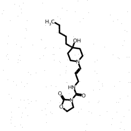 CCCCCC1(O)CCN(C=CCNC(=O)N2CCOC2=O)CC1